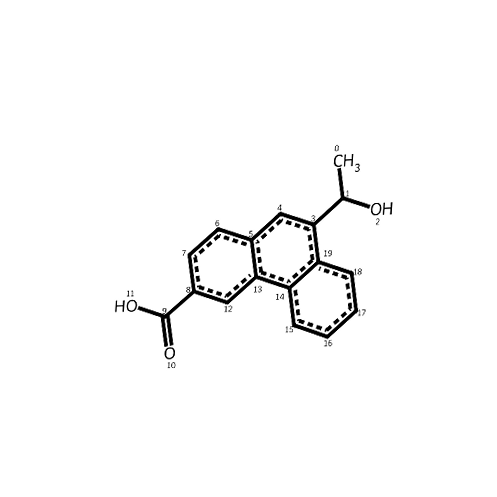 CC(O)c1cc2ccc(C(=O)O)cc2c2ccccc12